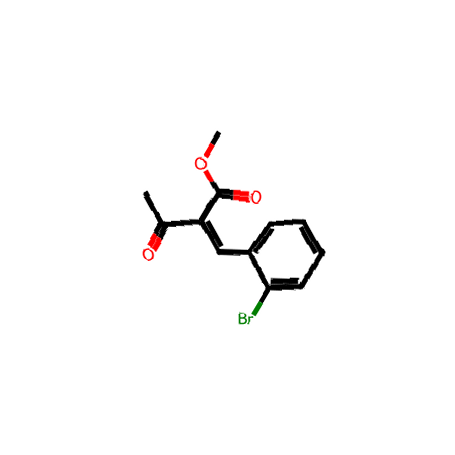 COC(=O)C(=Cc1ccccc1Br)C(C)=O